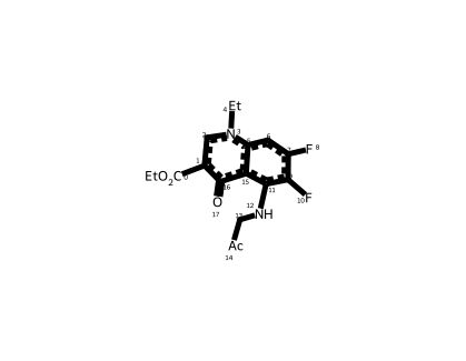 CCOC(=O)c1cn(CC)c2cc(F)c(F)c(NCC(C)=O)c2c1=O